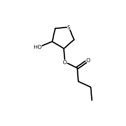 CCCC(=O)OC1CSCC1O